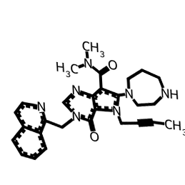 CC#CCn1c(N2CCCNCC2)c(C(=O)N(C)C)c2ncn(Cc3nccc4ccccc34)c(=O)c21